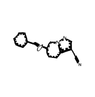 N#Cc1cnn2cc(OCc3ccccc3)ccc12